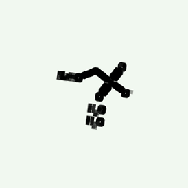 O.O.O=S(=O)([O-])CO.[Na+]